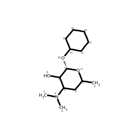 CC1CC(N(C)C)C(O)[C@H](OC2CCCCC2)O1